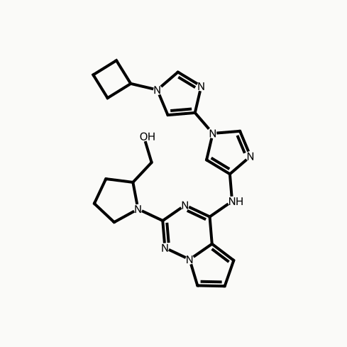 OCC1CCCN1c1nc(Nc2cn(-c3cn(C4CCC4)cn3)cn2)c2cccn2n1